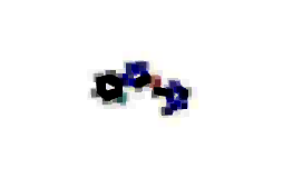 Cn1ncnc1COc1cn(-c2ccccc2F)nn1